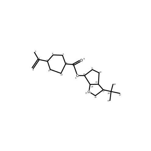 C=C(C)C1CCC(C(=O)OC2CCC3C2OCC3C(C)(C)C)CC1